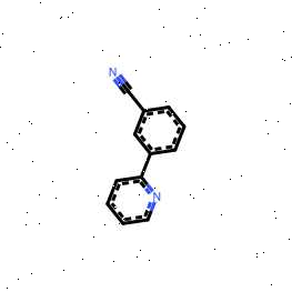 N#Cc1cccc(-c2cc[c]cn2)c1